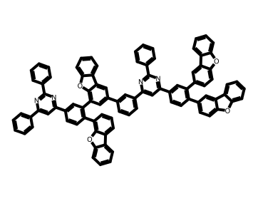 c1ccc(-c2cc(-c3ccc(-c4cccc5c4oc4ccccc45)c(-c4cc(-c5cccc(-c6cc(-c7ccc(-c8ccc9oc%10ccccc%10c9c8)c(-c8ccc9oc%10ccccc%10c9c8)c7)nc(-c7ccccc7)n6)c5)cc5c4oc4ccccc45)c3)nc(-c3ccccc3)n2)cc1